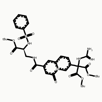 CC(C)(C)OC(=O)[C@H](CNC(=O)c1cc(=O)n2cc(C(NC(=N)N)(C(=O)OC(C)(C)C)C(=O)OC(C)(C)C)ccc2c1)NS(=O)(=O)c1ccccc1